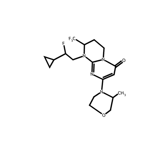 CC1COCCN1c1cc(=O)n2c(n1)N(CC(F)C1CC1)C(C(F)(F)F)CC2